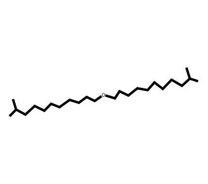 CC(C)CCCCCCCCCOCCCCCCCCCC(C)C